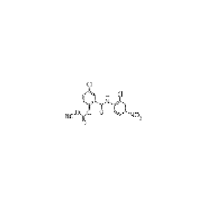 N#COC(=O)Oc1ccc(Cl)cc1C(=O)Nc1ccc([N+](=O)[O-])cc1Cl